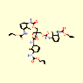 C=CCOC(=O)Nc1cccc(NC(=O)OCC(CC)(COC(=O)Nc2cccc(NC(=O)OCC=C)c2C)COC(=O)Nc2cccc(NC(=O)OCC=C)c2C)c1C